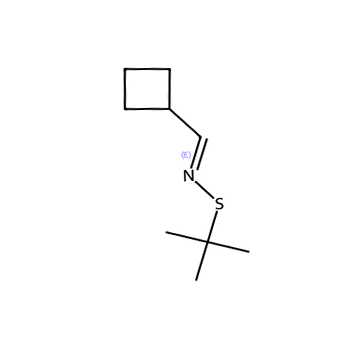 CC(C)(C)S/N=C/C1CCC1